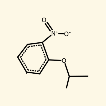 CC(C)Oc1c[c]ccc1[N+](=O)[O-]